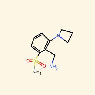 CS(=O)(=O)c1cccc(N2CCC2)c1CN